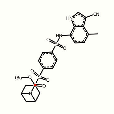 Cc1ccc(NS(=O)(=O)c2ccc(S(=O)(=O)N3CC4CC(C3)N4C(=O)OC(C)(C)C)cc2)c2[nH]cc(C#N)c12